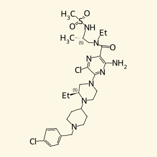 CC[C@H]1CN(c2nc(N)c(C(=O)N(CC)C[C@H](C)NS(C)(=O)=O)nc2Cl)CCN1C1CCN(Cc2ccc(Cl)cc2)CC1